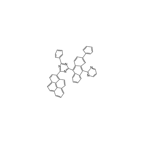 c1ccc(-c2ccc3c(-c4nc(-c5ccccc5)nc(-c5ccc6ccc7cccc8ccc5c6c78)n4)c4ccccc4c(-c4ncccn4)c3c2)cc1